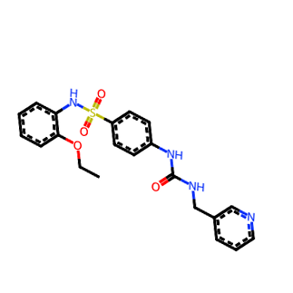 CCOc1ccccc1NS(=O)(=O)c1ccc(NC(=O)NCc2cccnc2)cc1